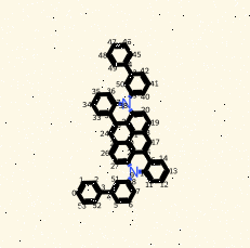 c1ccc(-c2cccc(-n3c4ccccc4c4cc5ccc6c7c(cc8ccc3c4c8c57)c3ccccc3n6-c3cccc(-c4ccccc4)c3)c2)cc1